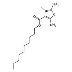 CCCCCCCCCCOC(=O)c1c(N)sc(N)c1C